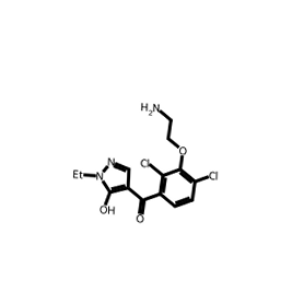 CCn1ncc(C(=O)c2ccc(Cl)c(OCCN)c2Cl)c1O